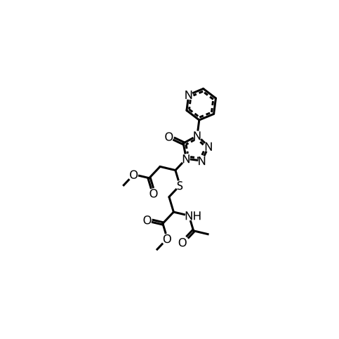 COC(=O)CC(SCC(NC(C)=O)C(=O)OC)n1nnn(-c2cccnc2)c1=O